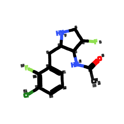 O=C(NC1C(F)CNC1Cc1cccc(Cl)c1F)C(F)(F)F